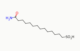 NC(=O)CCCCCCCCCCCCCS(=O)(=O)O